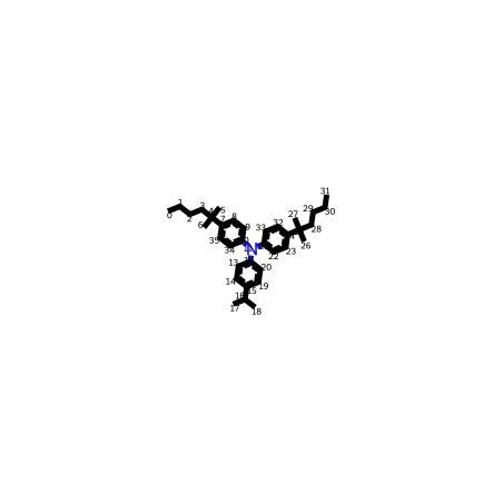 CCCCC(C)(C)c1ccc(N(c2ccc(C(C)C)cc2)c2ccc(C(C)(C)CCCC)cc2)cc1